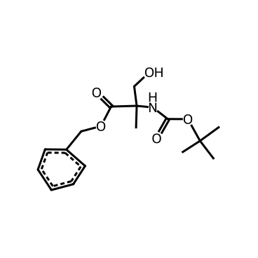 CC(C)(C)OC(=O)NC(C)(CO)C(=O)OCc1ccccc1